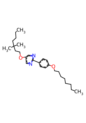 CCCCCCCCOc1ccc(-c2ncc(OCCC(C)(C)CCCC)cn2)cc1